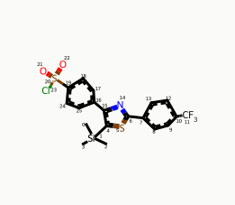 C[Si](C)(C)c1sc(-c2ccc(C(F)(F)F)cc2)nc1-c1ccc(S(=O)(=O)Cl)cc1